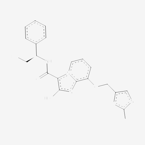 Cc1ncc(COc2cccn3c(C(=O)N[C@@H](CO)c4ccccc4)c(C)nc23)s1